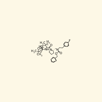 CC(C)(C)OC(=O)N[C@H](C(=O)N1CCC[C@H]1CN(CCc1ccc(F)cc1)C(=O)OCc1ccccc1)C(C)(C)C